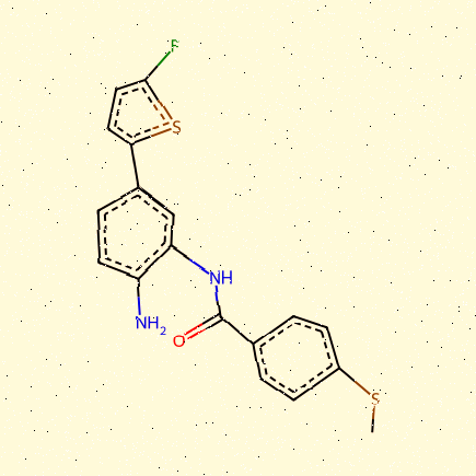 CSc1ccc(C(=O)Nc2cc(-c3ccc(F)s3)ccc2N)cc1